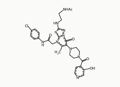 CC(=O)NCCNc1nc2n(CC(=O)Nc3ccc(Cl)cc3)c(C)c(N3CCN(C(=O)c4ccncc4O)CC3)c(=O)n2n1